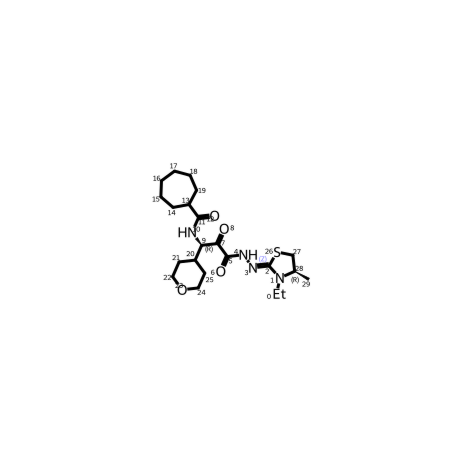 CCN1/C(=N/NC(=O)C(=O)[C@H](NC(=O)C2CCCCCC2)C2CCOCC2)SC[C@H]1C